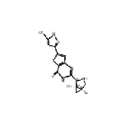 Cc1cc(-c2cc3nc([C@H]4NC[C@H]5C[C@H]54)[nH]c(=O)c3s2)n[nH]1